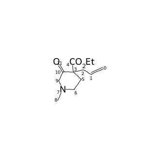 C=CCC1(C(=O)OCC)CCN(C)CC1=O